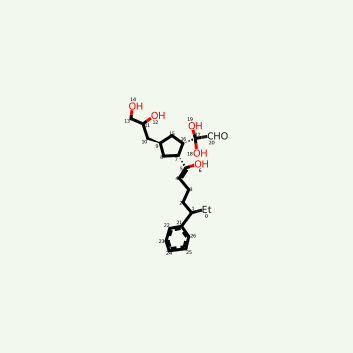 CCC(CCC=C(O)[C@@H]1C[C@@H](CC(O)CO)C[C@@H]1C(O)(O)C=O)c1ccccc1